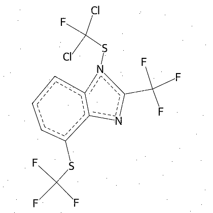 FC(F)(F)Sc1cccc2c1nc(C(F)(F)F)n2SC(F)(Cl)Cl